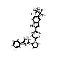 CC(C)(C)[C@H](NC(=O)c1cc2cc(C(F)(F)P(=O)(O)O)ccc2[nH]1)C(=O)N1CCC[C@H]1c1nc(-c2ccccc2)cs1